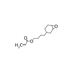 C=CC(=O)OCCCCC1CCC2OC2C1